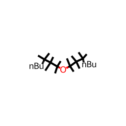 CCCCC(C)(C)C(C)(C)C(C)(C)OC(C)(C)C(C)(C)C(C)(C)CCCC